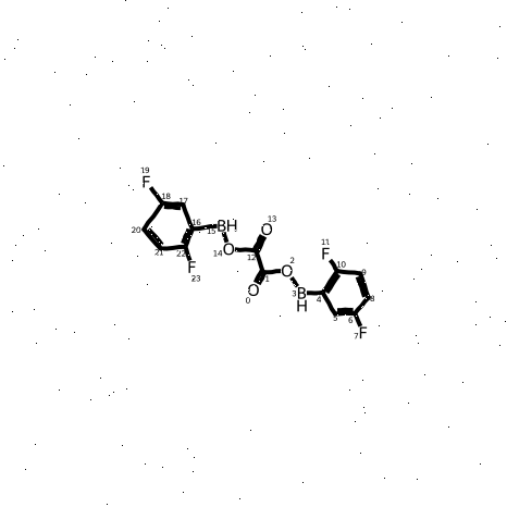 O=C(OBc1cc(F)ccc1F)C(=O)OBc1cc(F)ccc1F